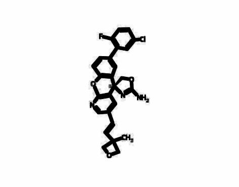 CC1(C=Cc2cnc3c(c2)[C@]2(COC(N)=N2)c2cc(-c4cc(Cl)ccc4F)ccc2O3)COC1